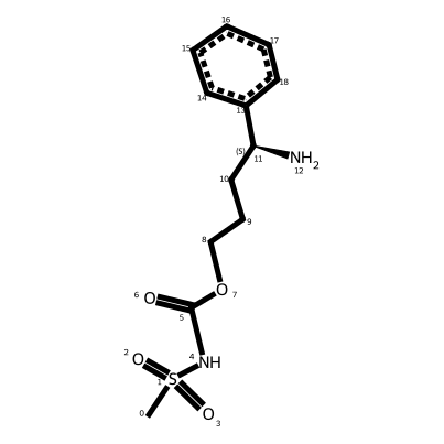 CS(=O)(=O)NC(=O)OCCC[C@H](N)c1ccccc1